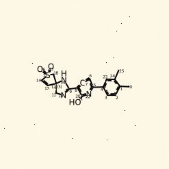 Cc1ccc(-c2ccc(C3=NC[C@]4(C=CS(=O)(=O)C4)N3)c(O)n2)cc1C